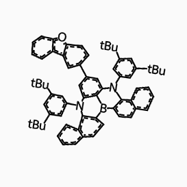 CC(C)(C)c1cc(N2c3cc(-c4ccc5oc6ccccc6c5c4)cc4c3B(c3ccc5ccccc5c32)c2ccc3ccccc3c2N4c2cc(C(C)(C)C)cc(C(C)(C)C)c2)cc(C(C)(C)C)c1